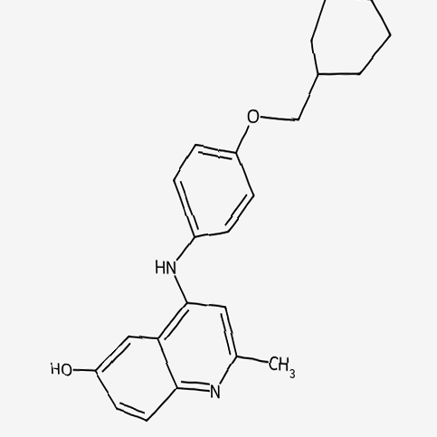 Cc1cc(Nc2ccc(OCC3CCCCC3)cc2)c2cc(O)ccc2n1